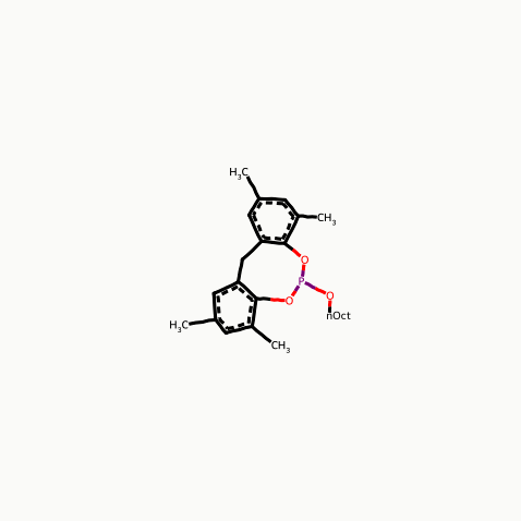 CCCCCCCCOP1Oc2c(C)cc(C)cc2Cc2cc(C)cc(C)c2O1